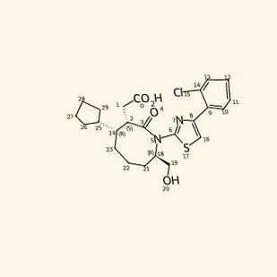 O=C(O)C[C@@H]1C(=O)N(c2nc(-c3ccccc3Cl)cs2)[C@@H](CO)CCC[C@@H]1C1CCCC1